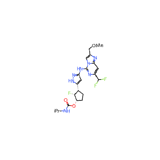 COCc1cn2c(Nc3cc([C@@H]4CC[C@H](OC(=O)NC(C)C)[C@@H]4F)[nH]n3)nc(C(F)F)cc2n1